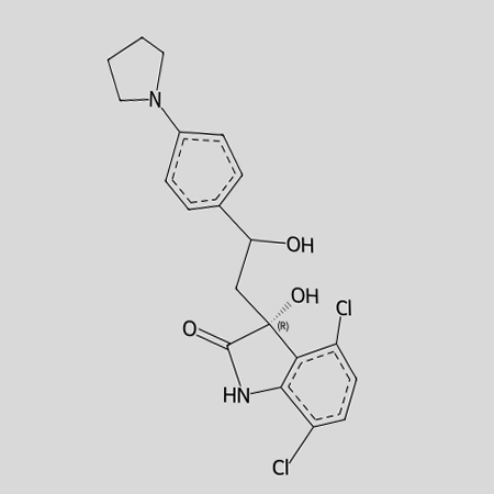 O=C1Nc2c(Cl)ccc(Cl)c2[C@]1(O)CC(O)c1ccc(N2CCCC2)cc1